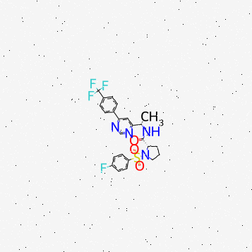 C[C@H](NC(=O)[C@@H]1CCCN1S(=O)(=O)c1ccc(F)cc1)c1cc(-c2ccc(C(F)(F)F)cc2)ncn1